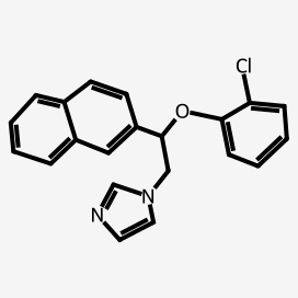 Clc1ccccc1OC(Cn1ccnc1)c1ccc2ccccc2c1